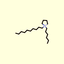 CCCCCCCCCC[N+]1(CCCCCC)CCCC1